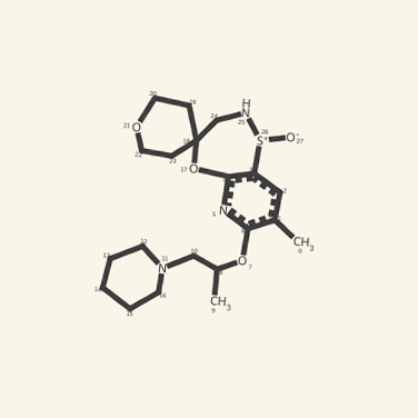 Cc1cc2c(nc1OC(C)CN1CCCCC1)OC1(CCOCC1)CN[S+]2[O-]